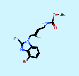 CC(C)c1nc2c(Br)cccc2n1C/C(F)=C/CNC(=O)OC(C)(C)C